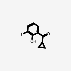 O=C(c1cccc(F)c1O)C1CC1